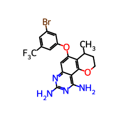 CC1CCOc2c1c(Oc1cc(Br)cc(C(F)(F)F)c1)cc1nc(N)nc(N)c21